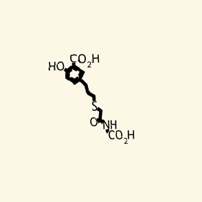 O=C(O)CNC(=O)CSCCCc1ccc(O)c(C(=O)O)c1